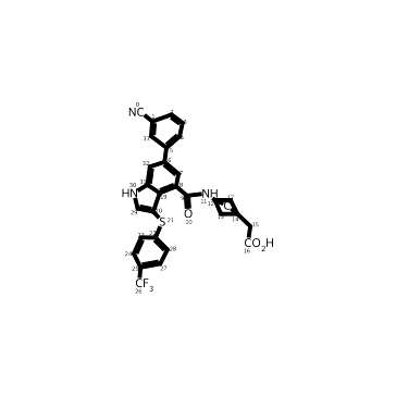 N#Cc1cccc(-c2cc(C(=O)NC34CC(CC(=O)O)(C3)C4)c3c(Sc4ccc(C(F)(F)F)cc4)c[nH]c3c2)c1